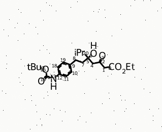 CCOC(=O)CC(=O)CC(O)(CCc1ccc(NC(=O)OC(C)(C)C)cc1)C(C)C